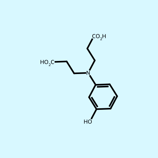 O=C(O)CCN(CCC(=O)O)c1cccc(O)c1